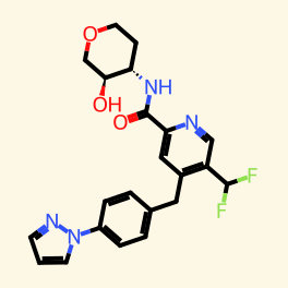 O=C(N[C@H]1CCOC[C@@H]1O)c1cc(Cc2ccc(-n3cccn3)cc2)c(C(F)F)cn1